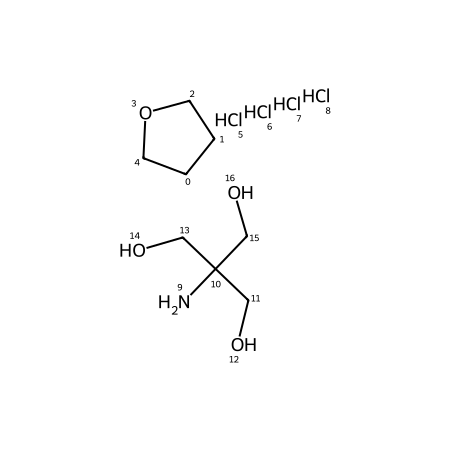 C1CCOC1.Cl.Cl.Cl.Cl.NC(CO)(CO)CO